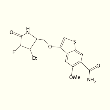 CCC1C(COc2csc3cc(C(N)=O)c(OC)cc23)NC(=O)C1F